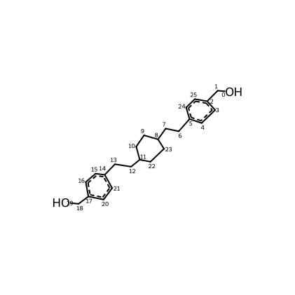 OCc1ccc(CCC2CCC(CCc3ccc(CO)cc3)CC2)cc1